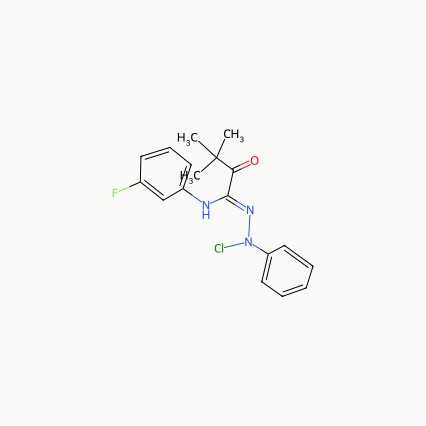 CC(C)(C)C(=O)C(=NN(Cl)c1ccccc1)Nc1cccc(F)c1